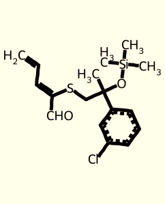 C=C/C=C(/C=O)SCC(C)(O[Si](C)(C)C)c1cccc(Cl)c1